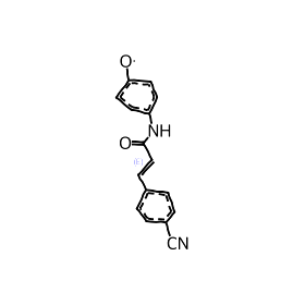 N#Cc1ccc(/C=C/C(=O)Nc2ccc([O])cc2)cc1